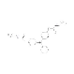 C/C=C/C(=O)Oc1ccc(N(c2ccccc2)c2ccc(OC(=O)/C=C/C)cc2)cc1